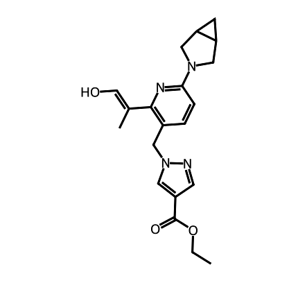 CCOC(=O)c1cnn(Cc2ccc(N3CC4CC4C3)nc2C(C)=CO)c1